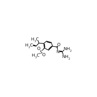 C=CC(C)c1ccc(C(=O)N=C(N)N)cc1S(C)(=O)=O